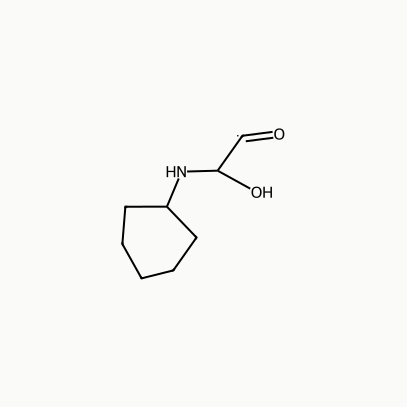 O=[C]C(O)NC1CCCCC1